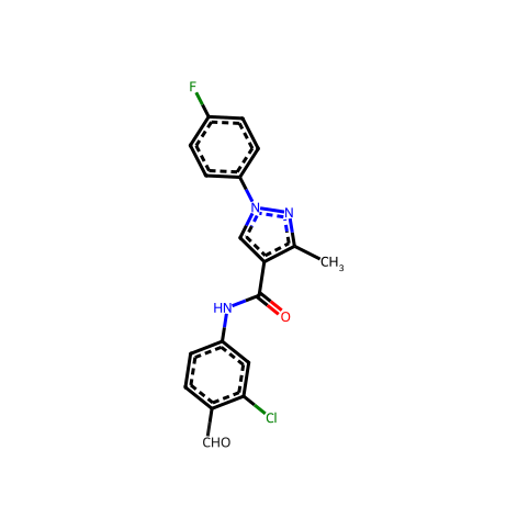 Cc1nn(-c2ccc(F)cc2)cc1C(=O)Nc1ccc(C=O)c(Cl)c1